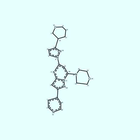 c1cc(-c2cc3nc(-n4ccc(C5CCCOC5)n4)cc(N4CCOCC4)n3n2)ccn1